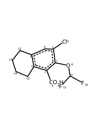 O=C(O)c1c2c(cc(Cl)c1OC(F)F)CCCC2